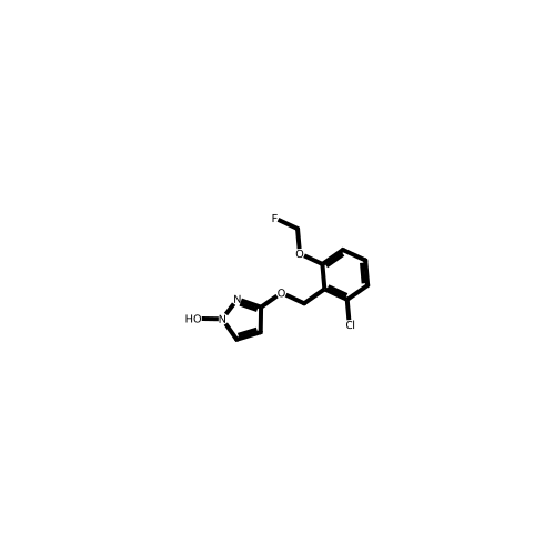 On1ccc(OCc2c(Cl)cccc2OCF)n1